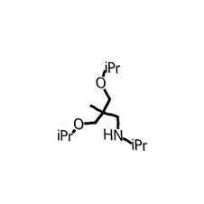 CC(C)NCC(C)(COC(C)C)COC(C)C